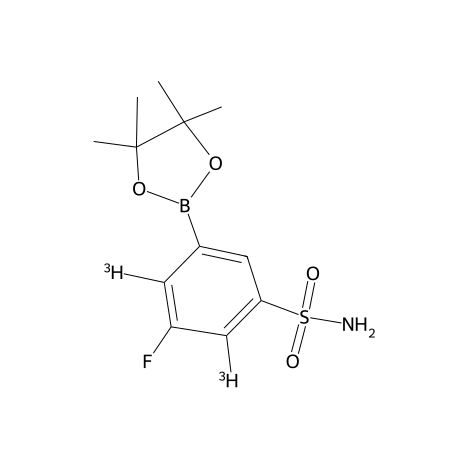 [3H]c1c(B2OC(C)(C)C(C)(C)O2)cc(S(N)(=O)=O)c([3H])c1F